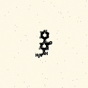 NNc1ncn(-c2ccncc2)c(=O)n1